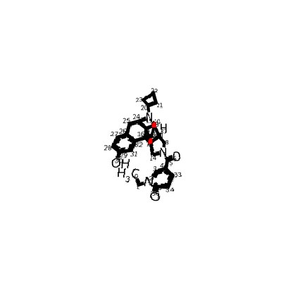 CCn1cc(C(=O)N2C[C@H]3CC45CCC2C3C42CCN(C3CCC3)C5Cc3ccc(O)cc32)ccc1=O